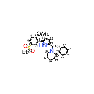 CCS(=O)(=O)c1ccc(OC)c(-c2ccc(CN3CCCCC3c3ccccc3)[nH]2)c1